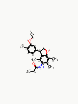 CC(=O)COc1cc(C2COc3c(C)c(C)c(NC(=O)CC(C)(C)C)c(C)c32)ccc1C(C)C